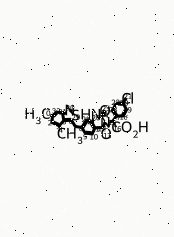 Cc1cc(C)c2c(Cc3ccc4c(=O)n([C@H](C(=O)O)c5ccc(Cl)cc5)c(=O)[nH]c4c3)snc2c1